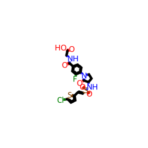 O=C(O)CNC(=O)c1ccc(N2CCC(NS(=O)(=O)C=Cc3ccc(Cl)s3)C2=O)c(F)c1